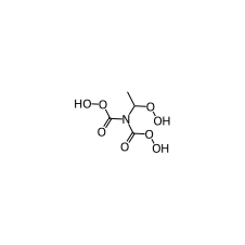 CC(OO)N(C(=O)OO)C(=O)OO